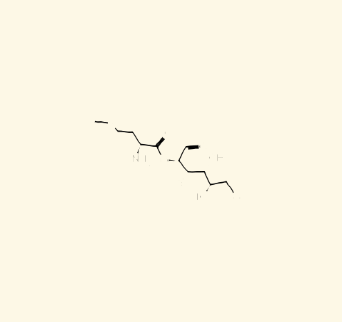 CSCC[C@H](N)C(=O)O[C@@H](C=O)[C@@H](O)[C@H](O)[C@H](O)CO